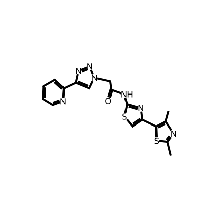 Cc1nc(C)c(-c2csc(NC(=O)Cn3cc(-c4ccccn4)nn3)n2)s1